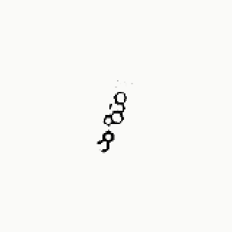 CNC[C@@H]1CCC2=CC3=CC[C@]4(C)[C@@H](c5ccc6ccncc6c5)CC[C@H]4[C@@]34CC[C@]2(C1)O4